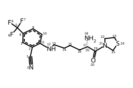 N#Cc1cc(C(F)(F)F)ccc1NCCCC[C@H](N)C(=O)N1CCSC1